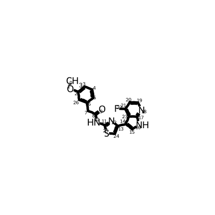 COc1cccc(CC(=O)Nc2nc(-c3c[nH]c4nccc(F)c34)cs2)c1